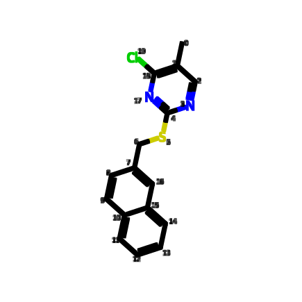 Cc1cnc(SCc2ccc3ccccc3c2)nc1Cl